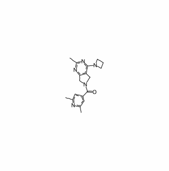 Cc1cc(C(=O)N2Cc3nc(C)nc(N4CCC4)c3C2)cc(C)n1